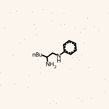 CCCCC(N)CNc1ccccc1